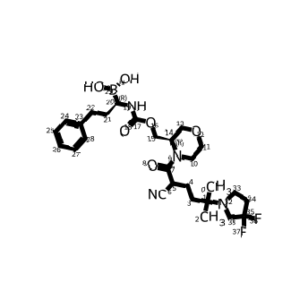 CC(C)(CCC(C#N)C(=O)N1CCOC[C@@H]1COC(=O)N[C@@H](CCc1ccccc1)B(O)O)N1CCC(F)(F)C1